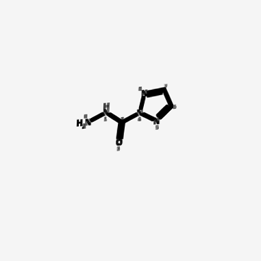 NNC(=O)n1nccn1